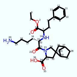 CCOC(=O)C(CCc1ccccc1)N[C@@H](CCCCN)C(=O)N1CC2(CC3CCC2C3)CC1C(=O)O